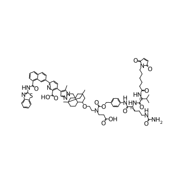 Cc1c(-c2ccc(-c3ccc4cccc(C(=O)Nc5nc6ccccc6s5)c4c3)nc2C(=O)O)cnn1CC12CC3(C)CCC1C(OCCN(CCC(=O)O)C(=O)OCc1ccc(NC(=O)[C@H](CCCNC(N)=O)NC(=O)[C@@H](NC(=O)CCCCCN4C(=O)C=CC4=O)C(C)C)cc1)CC(C)(C3)C2